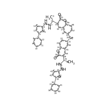 CC(NNc1nc(-c2ccccc2)cs1)c1cc2cc([Se]c3ccc4oc(=O)c(C(C)NNc5nc(-c6ccccc6)cs5)cc4c3)ccc2oc1=O